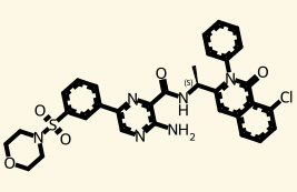 C[C@H](NC(=O)c1nc(-c2cccc(S(=O)(=O)N3CCOCC3)c2)cnc1N)c1cc2cccc(Cl)c2c(=O)n1-c1ccccc1